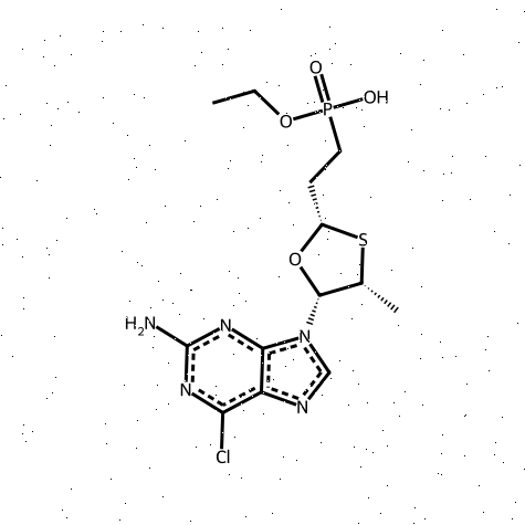 CCOP(=O)(O)CC[C@H]1O[C@@H](n2cnc3c(Cl)nc(N)nc32)[C@@H](C)S1